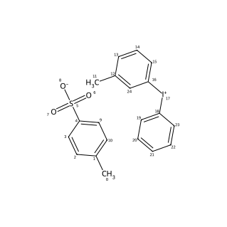 Cc1ccc(S(=O)(=O)[O-])cc1.Cc1cccc([I+]c2ccccc2)c1